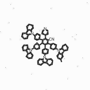 Cc1ccc2c(c1)c1ccccc1n2-c1ccc(-c2c(C#N)c(-c3ccncc3)c(-c3ccc(-n4c5ccccc5c5ccccc54)cc3)c(-c3ccc(-n4c5ccccc5c5ccccc54)cc3)c2-c2ccc(-n3c4ccccc4c4ccccc43)cc2)cc1